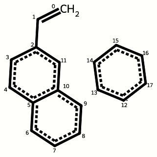 C=Cc1ccc2ccccc2c1.[c]1ccccc1